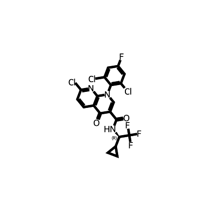 O=C(N[C@H](C1CC1)C(F)(F)F)c1cn(-c2c(Cl)cc(F)cc2Cl)c2nc(Cl)ccc2c1=O